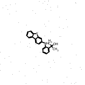 CC(C)(O)c1ccccc1Nc1ccc2c(c1)sc1ccccc12